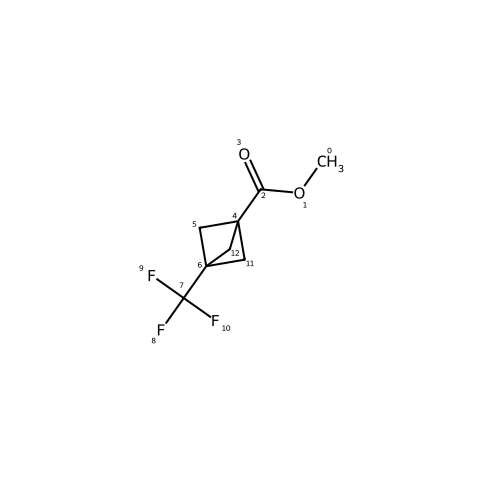 COC(=O)C12CC(C(F)(F)F)(C1)C2